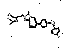 Cc1nc(Cn2nc3ccc(-c4ccc(Oc5ccc(Cl)cc5)cc4)cn3c2=O)no1